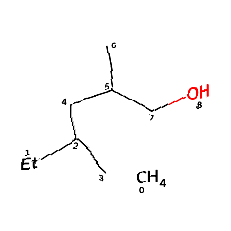 C.CCC(C)CC(C)CO